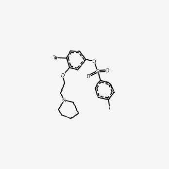 Cc1ccc(S(=O)(=O)Oc2ccc(Br)c(OCCN3CCCCC3)c2)cc1